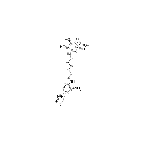 O=[N+]([O-])c1cc(-n2ccnn2)ccc1NCCCCCCN[C@H]1C[C@](O)(CO)[C@@H](O)[C@H](O)[C@H]1O